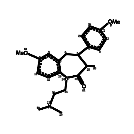 COc1ccc(C2Cc3cc(OC)ccc3N(CCN(C)C)C(=O)C2C)cc1